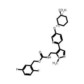 Cn1ncc(-c2ccc(O[C@H]3CCC[C@H](C(=O)O)C3)cn2)c1CNC(=O)OCc1cc(F)ccc1F